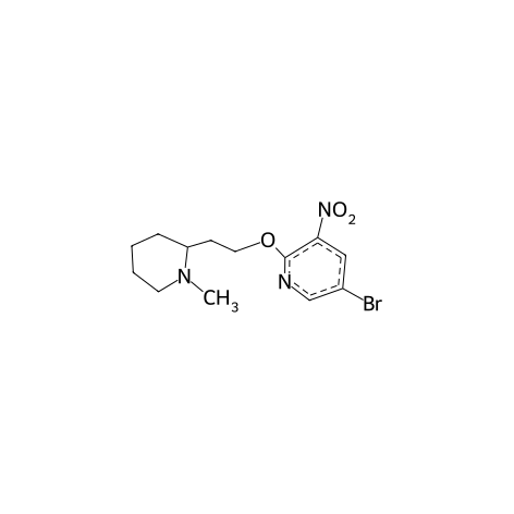 CN1CCCCC1CCOc1ncc(Br)cc1[N+](=O)[O-]